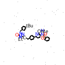 CCn1c(CCCc2ccc(-c3ccc(NS(=O)(=O)c4ccccc4)c(OC)n3)cc2)nn(Cc2ccc(C(C)(C)C)cc2)c1=O